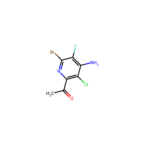 CC(=O)c1nc(Br)c(F)c(N)c1Cl